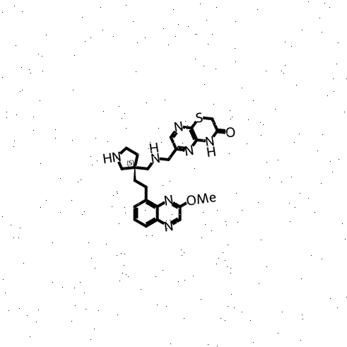 COc1cnc2cccc(CC[C@]3(CNCc4cnc5c(n4)NC(=O)CS5)CCNC3)c2n1